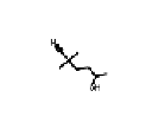 CC(O)CCC(C)(C)C#N